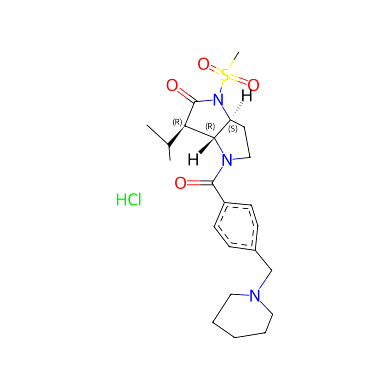 CC(C)[C@H]1C(=O)N(S(C)(=O)=O)[C@H]2CCN(C(=O)c3ccc(CN4CCCCC4)cc3)[C@H]12.Cl